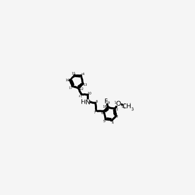 COc1cccc(CCNCCc2ccccc2)c1F